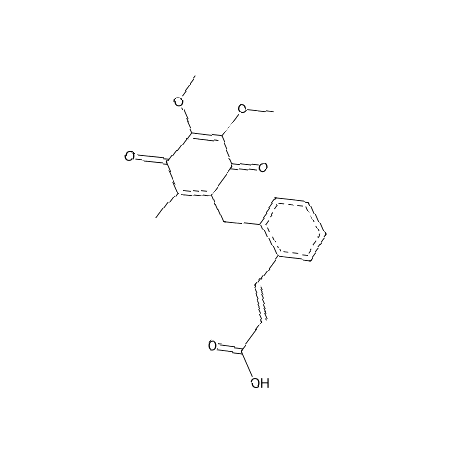 COC1=C(OC)C(=O)C(Cc2ccccc2C=CC(=O)O)=C(C)C1=O